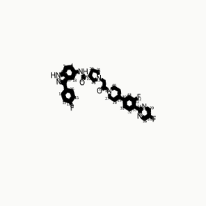 O=C(Nc1ccc2[nH]nc(-c3ccc(F)cc3)c2c1)[C@@H]1CCN(CC(=O)N2CC=C(c3ccc(-c4ncc(F)cn4)c(F)c3)CC2)C1